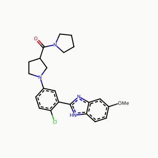 COc1ccc2[nH]c(-c3cc(N4CCC(C(=O)N5CCCC5)C4)ccc3Cl)nc2c1